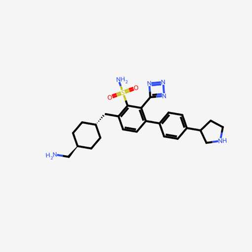 NC[C@H]1CC[C@H](Cc2ccc(-c3ccc(C4CCNC4)cc3)c(C3=NN=N3)c2S(N)(=O)=O)CC1